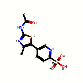 CC(=O)Nc1nc(C)c(-c2ccc(S(=O)(=O)O)nc2)s1